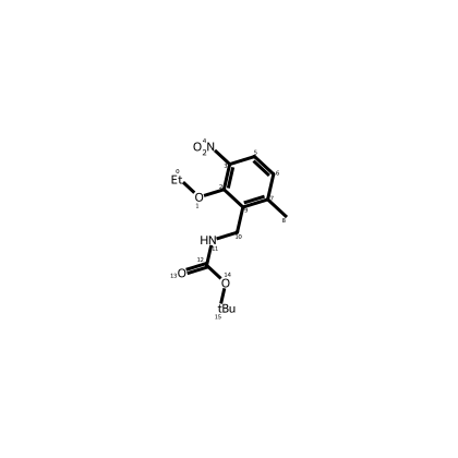 CCOc1c([N+](=O)[O-])ccc(C)c1CNC(=O)OC(C)(C)C